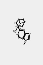 Cn1cnc2cc(CN3C4CC3CN(C(C)(C)C)C4)ccc21